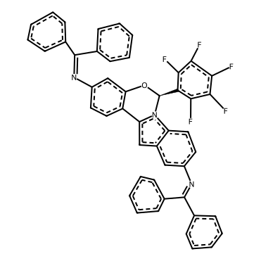 Fc1c(F)c(F)c([C@@H]2Oc3cc(N=C(c4ccccc4)c4ccccc4)ccc3-c3cc4cc(N=C(c5ccccc5)c5ccccc5)ccc4n32)c(F)c1F